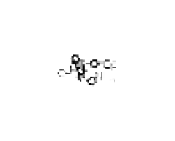 Nc1cccc(-n2cnc3c(N(Cc4ccccc4)Cc4ccccc4)nc(Nc4ccc(N5CCC(F)(F)CC5)cc4)nc32)c1